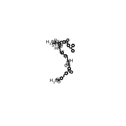 [C-]#[N+]/C(=C\c1ccc2c(c1)C1CCCC1N2c1ccc(/C=C/c2ccc(C(=O)OC)cc2)cc1)CONCCN1C=CC(c2cc[n+](CCNC(=O)Cn3c(=O)/c(=C\c4ccc5c(c4)C4CCCC4N5c4ccc(C=C(c5ccccc5)c5ccccc5)cc4)s/c3=C3/SC(=S)N(C)C3=O)cc2)=CC1